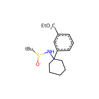 CCOC(=O)c1cccc(C2(N[S+]([O-])C(C)(C)C)CCCCC2)c1